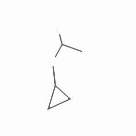 FC(F)O[C]1CC1